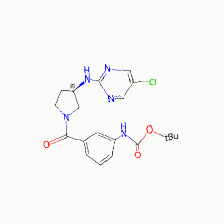 CC(C)(C)OC(=O)Nc1cccc(C(=O)N2CC[C@@H](Nc3ncc(Cl)cn3)C2)c1